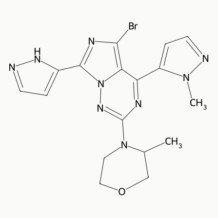 CC1COCCN1c1nc(-c2ccnn2C)c2c(Br)nc(-c3ccn[nH]3)n2n1